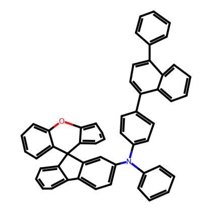 c1ccc(-c2ccc(-c3ccc(N(c4ccccc4)c4ccc5c(c4)C4(c6ccccc6Oc6ccccc64)c4ccccc4-5)cc3)c3ccccc23)cc1